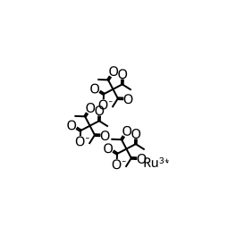 CC(=O)C(C(C)=O)(C(C)=O)C(=O)[O-].CC(=O)C(C(C)=O)(C(C)=O)C(=O)[O-].CC(=O)C(C(C)=O)(C(C)=O)C(=O)[O-].[Ru+3]